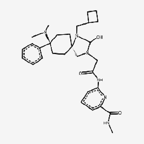 CNC(=O)c1cccc(NC(=O)CN2C[C@]3(CC[C@](c4ccccc4)(N(C)C)CC3)N(CC3CCC3)C2O)n1